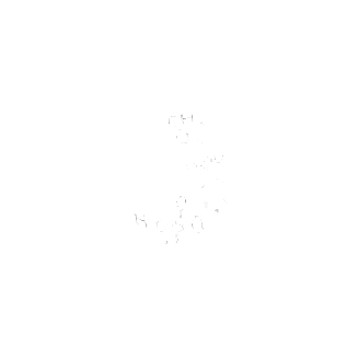 COCS(=O)(=O)c1cccc(OS(C)(=O)=O)c1